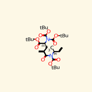 C=C[C@@H](N(C(=O)OC(C)(C)C)C(=O)C(=C)C[C@@H](C(=O)OC(C)(C)C)N(C(=O)OC(C)(C)C)C(=O)OC(C)(C)C)C(F)(F)F